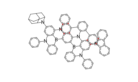 c1ccc(-c2cccc(-c3ccccc3)c2N2c3cc4c(cc3B3c5ccccc5N(c5ccccc5)c5cc(-n6c7ccccc7c7ccccc76)cc2c53)B2c3ccccc3N(c3ccccc3)c3cc(N5C6CC7CC(C6)CC5C7)cc(c32)N4c2ccccc2)cc1